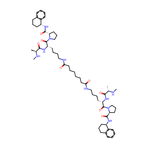 CN[C@@H](C)C(=O)N[C@@H](CCCCNC(=O)CCCCCCC(=O)NCCCC[C@H](NC(=O)[C@H](C)NC)C(=O)N1CCC[C@H]1C(=O)N[C@@H]1CCCc2ccccc21)C(=O)N1CCC[C@H]1C(=O)N[C@@H]1CCCc2ccccc21